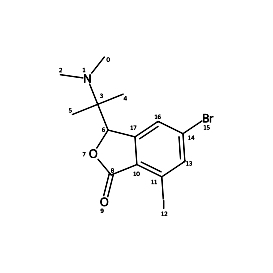 CN(C)C(C)(C)C1OC(=O)c2c(I)cc(Br)cc21